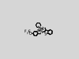 Cc1c(N(Cc2ccc(OC(F)(F)F)cc2)S(=O)(=O)N2CCCCC2)sc2ccccc12